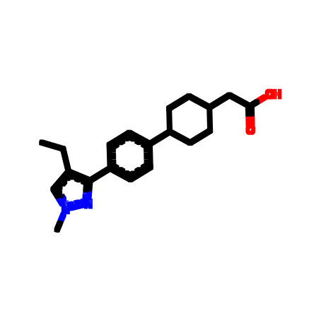 CCc1cn(C)nc1-c1ccc(C2CCC(CC(=O)O)CC2)cc1